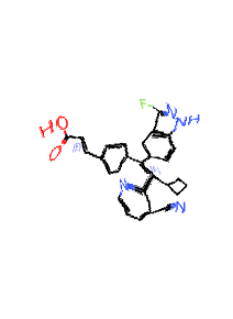 N#Cc1cccnc1/C(=C(\c1ccc(/C=C/C(=O)O)cc1)c1ccc2[nH]nc(F)c2c1)C1CCC1